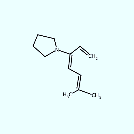 C=C/C(=C\C=C(C)C)N1CCCC1